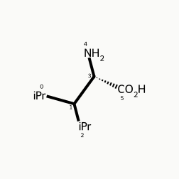 CC(C)C(C(C)C)[C@H](N)C(=O)O